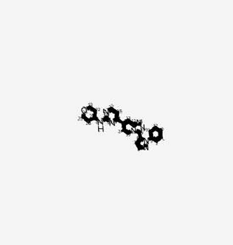 c1ccc(-n2nccc2-c2nnc3cc(-c4ccnc(NC5CCOCC5)n4)ccn23)cc1